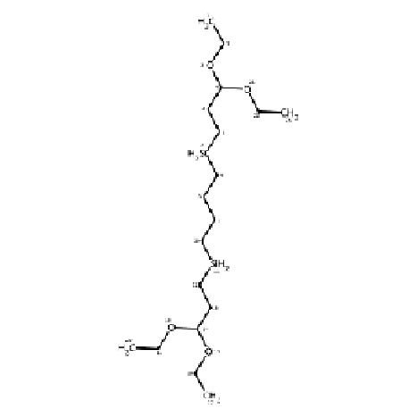 CCOC(CC[SiH2]CCCC[SiH2]CCC(OCC)OCC)OCC